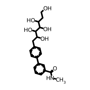 CNC(=O)c1cccc(-c2ccc(CC(O)C(O)C(O)C(O)CCO)cc2)c1